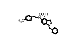 Cc1ccc(CCN(C(=O)O)c2ccc3c(c2)CCN3Cc2ccccc2)cc1